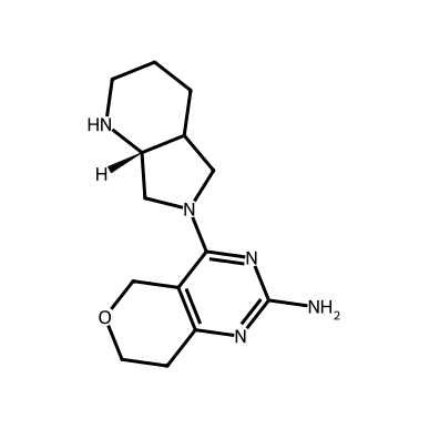 Nc1nc2c(c(N3CC4CCCN[C@H]4C3)n1)COCC2